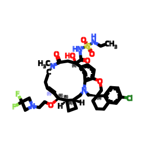 CCNS(=O)(=O)NC(=O)[C@@]1(O)CC(=O)N(C)CC/C=C/[C@H](OCCN2CC(F)(F)C2)[C@@H]2CC[C@H]2CN2C[C@@]3(CCCc4cc(Cl)ccc43)COc3ccc1cc32